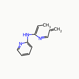 C=C/C=N\C(=C/C)Nc1ccccn1